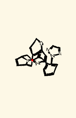 O=C(c1ccccc1-n1nccn1)N1CC2CCC(C1)N2c1nccc2c1CCO2